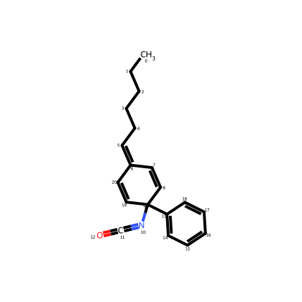 CCCCCC=C1C=CC(N=C=O)(c2ccccc2)C=C1